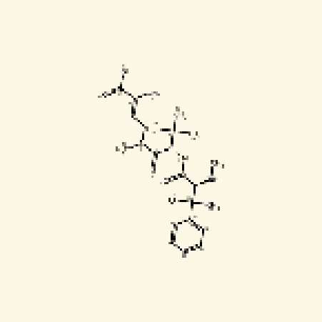 CN[C@H](C(=O)N[C@H](C(=O)N(C)C/C=C(\C)C(=O)O)C(C)(C)C)C(C)(C)c1ccccc1